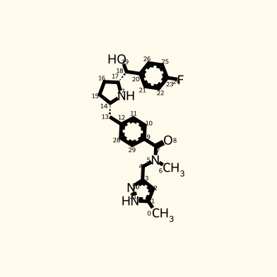 Cc1cc(CN(C)C(=O)c2ccc(C[C@@H]3CC[C@H](C(O)c4ccc(F)cc4)N3)cc2)n[nH]1